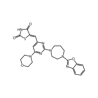 O=C1NC(=O)/C(=C/c2cc(N3CCOCC3)nc(N3CCCN(c4nc5ccccc5o4)CC3)n2)S1